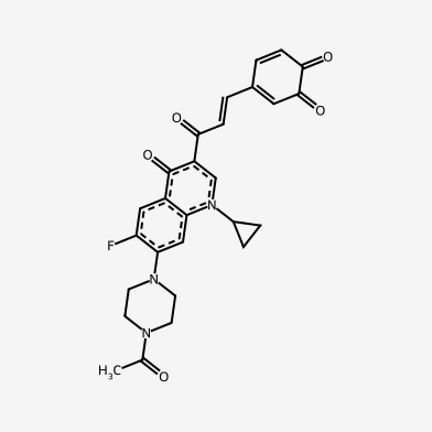 CC(=O)N1CCN(c2cc3c(cc2F)c(=O)c(C(=O)C=CC2=CC(=O)C(=O)C=C2)cn3C2CC2)CC1